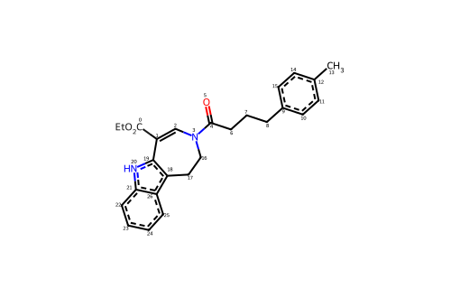 CCOC(=O)C1=CN(C(=O)CCCc2ccc(C)cc2)CCc2c1[nH]c1ccccc21